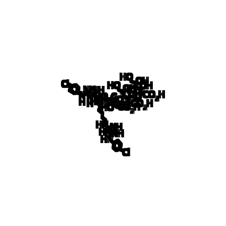 N=C(NCCCCCCNC(=N)NC(=N)Nc1ccc(Cl)cc1)NC(=N)Nc1ccc(Cl)cc1.O=C(O)CC(O)(CC(=O)O)C(=O)O.O=C(O)[C@H](O)[C@@H](O)[C@H](O)[C@H](O)CO.O=C(O)[C@H](O)[C@@H](O)[C@H](O)[C@H](O)CO